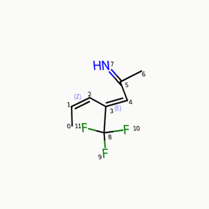 C/C=C\C(=C/C(C)=N)C(F)(F)F